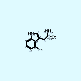 CC[C@@H](N)Cc1c[nH]c2cccc(F)c12